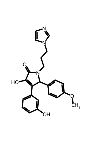 COc1ccc(C2C(c3cccc(O)c3)=C(O)C(=O)N2CCCn2ccnc2)cc1